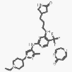 CCN1CCC(n2cc(Nc3ncc(C(F)(F)F)c(NCCCC4CNC(=O)C4)n3)c(C)n2)CC1.O=C1C=COCC=N1